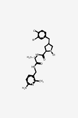 CCN1CC(Cc2ccc(Cl)c(Br)c2)CC1C(=O)N[C@@H](C)C(=O)NCc1ccc(N)nc1C